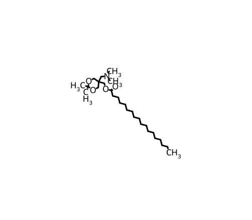 CCCCCCCCCCCCCCCCCC(=O)OCC1(CN(C)C)COC(C)(C)OC1